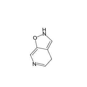 C1=NC=C2ONC=C2C1